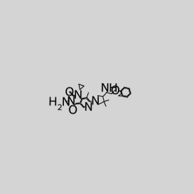 Cc1c(N2CC(C(N)COc3ccccc3)C(C)(C)C2)ncc2c(=O)n(N)c(=O)n(C3CC3)c12